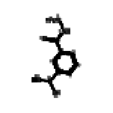 CCCCCNC(=O)c1cccc(B(O)O)c1